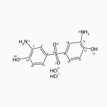 Cl.Cl.Nc1cc(S(=O)(=O)c2ccc(O)c(N)c2)ccc1O